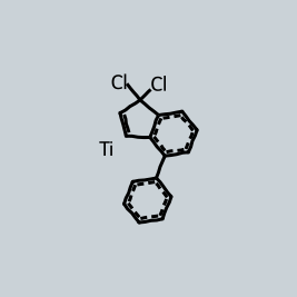 ClC1(Cl)C=Cc2c(-c3ccccc3)cccc21.[Ti]